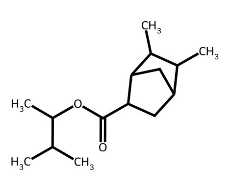 CC(C)C(C)OC(=O)C1CC2CC1C(C)C2C